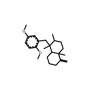 C=C1CCCC2C1(C)CCC(C)C2(C)Cc1cc(OC)ccc1OC